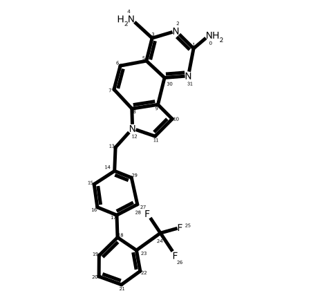 Nc1nc(N)c2ccc3c(ccn3Cc3ccc(-c4ccccc4C(F)(F)F)cc3)c2n1